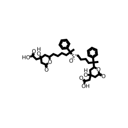 CC(CCCC[S+]([O-])C(C)(CCCCC1CC(O)(CC(=O)O)CC(=O)O1)c1ccccc1)(c1ccccc1)C1CC(O)(CC(=O)O)CC(=O)O1